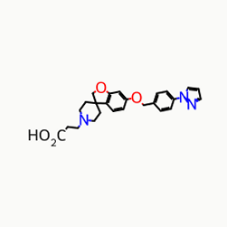 O=C(O)CCN1CCC2(CC1)COc1cc(OCc3ccc(-n4cccn4)cc3)ccc12